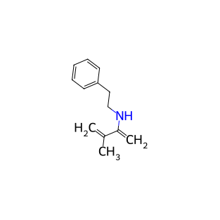 C=C(C)C(=C)NCCc1ccccc1